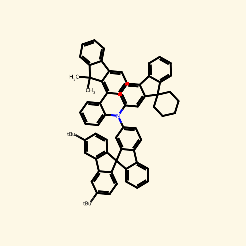 CC(C)(C)c1ccc2c(c1)-c1cc(C(C)(C)C)ccc1C21c2ccccc2-c2ccc(N(c3ccc4c(c3)C3(CCCCC3)c3ccccc3-4)c3ccccc3-c3cccc4c3C(C)(C)c3ccccc3-4)cc21